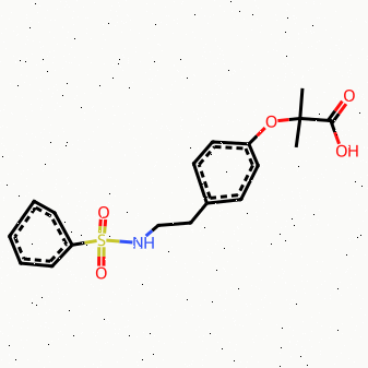 CC(C)(Oc1ccc(CCNS(=O)(=O)c2ccccc2)cc1)C(=O)O